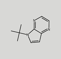 CC(C)(C)n1ccc2nccnc21